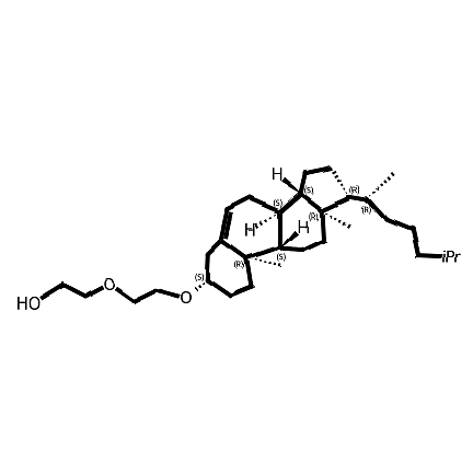 CC(C)CCC[C@@H](C)[C@H]1CC[C@H]2[C@@H]3CC=C4C[C@@H](OCCOCCO)CC[C@]4(C)[C@H]3CC[C@]12C